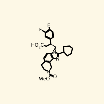 COC(=O)N1CCc2ccc3c(nc(C4CCCCC4)n3C[C@@H](CC(=O)O)c3ccc(F)c(F)c3)c2C1